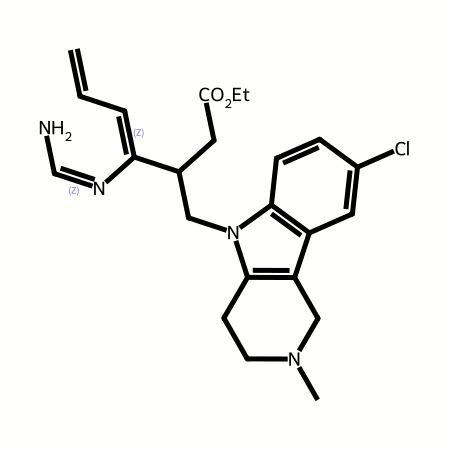 C=C/C=C(\N=C/N)C(CC(=O)OCC)Cn1c2c(c3cc(Cl)ccc31)CN(C)CC2